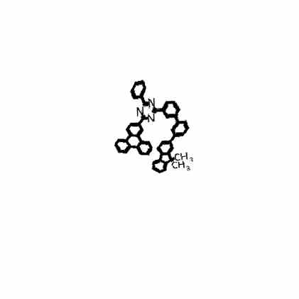 CC1(C)c2ccccc2-c2ccc(-c3cccc(-c4cccc(-c5nc(-c6ccccc6)nc(-c6ccc7c8ccccc8c8ccccc8c7c6)n5)c4)c3)cc21